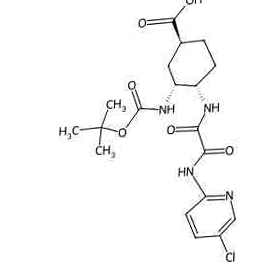 CC(C)(C)OC(=O)N[C@@H]1C[C@@H](C(=O)O)CC[C@@H]1NC(=O)C(=O)Nc1ccc(Cl)cn1